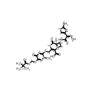 Cn1nc(OCOC(=O)C(C)(C)C)c(=O)nc1SCC1=C(C(=O)O)N2C[C@@H](NC(=O)/C(=N\O)c3csc(N)n3)[C@@H]2C(=O)S1